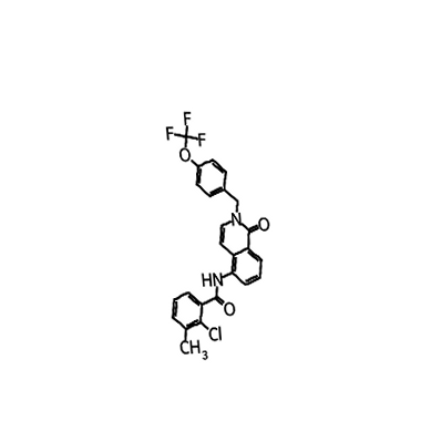 Cc1cccc(C(=O)Nc2cccc3c(=O)n(Cc4ccc(OC(F)(F)F)cc4)ccc23)c1Cl